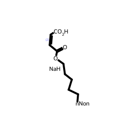 CCCCCCCCCCCCCCOC(=O)/C=C\C(=O)O.[NaH]